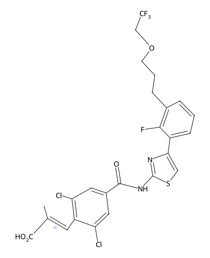 C/C(=C\c1c(Cl)cc(C(=O)Nc2nc(-c3cccc(CCCOCC(F)(F)F)c3F)cs2)cc1Cl)C(=O)O